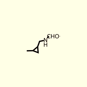 CC1CC1CN[C]=O